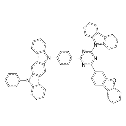 c1ccc(-n2c3ccccc3c3cc4c(cc32)c2ccccc2n4-c2ccc(-c3nc(-c4ccc5c(c4)oc4ccccc45)nc(-n4c5ccccc5c5ccccc54)n3)cc2)cc1